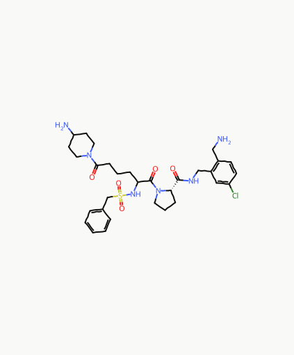 NCc1ccc(Cl)cc1CNC(=O)[C@@H]1CCCN1C(=O)C(CCCC(=O)N1CCC(N)CC1)NS(=O)(=O)Cc1ccccc1